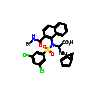 CCCCC(C(=O)O)N(c1c(C(=O)NCC)ccc2ccccc12)S(=O)(=O)c1cc(Cl)cc(Cl)c1.c1cc2cc-2c1